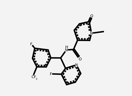 Cn1cc(C(=O)NC(c2cc(F)cc(C(F)(F)F)c2)c2ncccc2F)ccc1=O